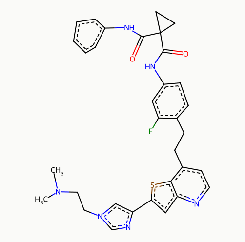 CN(C)CCn1cnc(-c2cc3nccc(CCc4ccc(NC(=O)C5(C(=O)Nc6ccccc6)CC5)cc4F)c3s2)c1